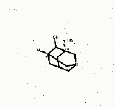 Br.OC1[C@@H]2CC3C[C@H]1CN(C3)C2